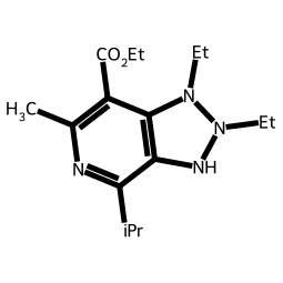 CCOC(=O)c1c(C)nc(C(C)C)c2c1N(CC)N(CC)N2